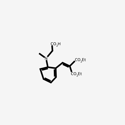 CCOC(=O)C(=Cc1ccccc1N(C)CC(=O)O)C(=O)OCC